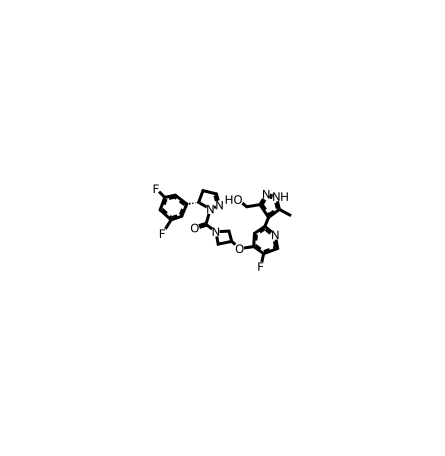 Cc1[nH]nc(CO)c1-c1cc(OC2CN(C(=O)N3N=CC[C@H]3c3cc(F)cc(F)c3)C2)c(F)cn1